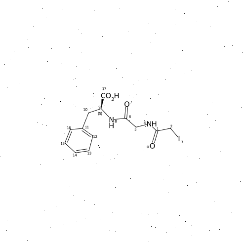 O=C(CI)NCC(=O)N[C@@H](Cc1ccccc1)C(=O)O